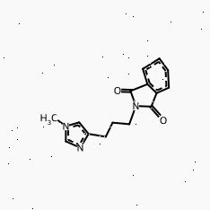 Cn1cnc(CCCN2C(=O)c3ccccc3C2=O)c1